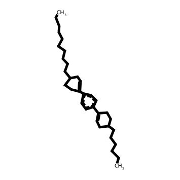 CCCCCCCCCCC1CC=C(c2ccc(C3=CCC(CCCCCC)CC3)cc2)CC1